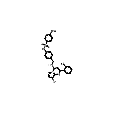 CC(C)(C)c1ccc(S(=O)(=O)Nc2ccc(CNc3cc(-c4ccccc4Cl)nc4c(Br)cnn34)cc2)cc1